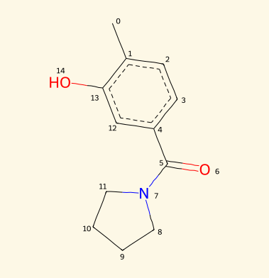 Cc1ccc(C(=O)N2CCCC2)cc1O